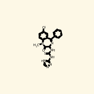 CN1C(=O)C(NC(=S)Nc2nnc[nH]2)N=C(c2ccccc2)c2cc(Cl)ccc21